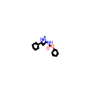 Cn1nc(-c2ccccc2)cc1NC(=O)Oc1ccccc1